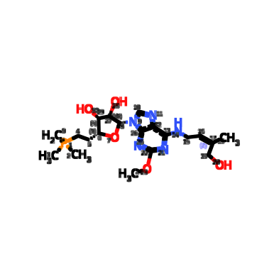 C=P(C)(C)CC[C@H]1O[C@@H](n2cnc3c(NC/C=C(/C)CO)nc(OC)nc32)[C@H](O)[C@@H]1O